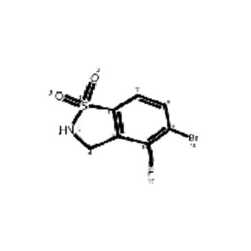 O=S1(=O)NCc2c1ccc(Br)c2F